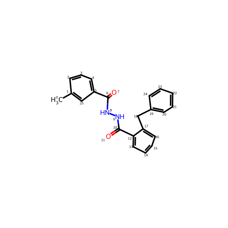 Cc1cccc(C(=O)NNC(=O)c2ccccc2Cc2ccccc2)c1